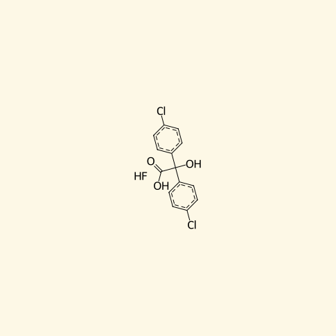 F.O=C(O)C(O)(c1ccc(Cl)cc1)c1ccc(Cl)cc1